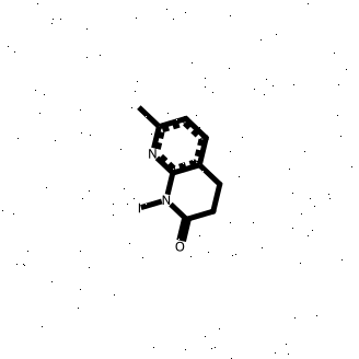 Cc1ccc2c(n1)N(I)C(=O)CC2